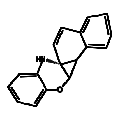 C1=C[C@]23Nc4ccccc4OC2C3c2ccccc21